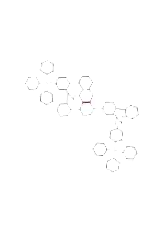 c1ccc(C2(c3ccccc3)c3ccccc3-c3cc(-n4c5ccccc5c5ccc(-c6ccc(-c7ccccc7N(c7ccc8c(c7)C(c7ccccc7)(c7ccccc7)c7ccccc7-8)c7cccc8ccccc78)cc6)cc54)ccc32)cc1